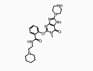 Cn1c(Oc2ccccc2C(=O)NCCN2CCCCC2)nc2nc(N3CCNCC3)[nH]c2c1=O